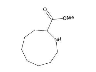 COC(=O)C1CCCCCCCN1